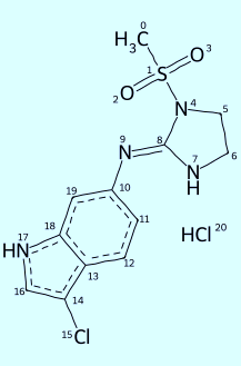 CS(=O)(=O)N1CCNC1=Nc1ccc2c(Cl)c[nH]c2c1.Cl